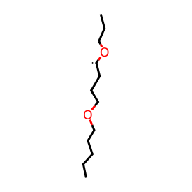 CCCCCOCCC[CH]OCCC